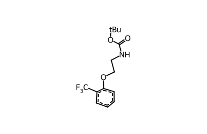 CC(C)(C)OC(=O)NCCOc1ccccc1C(F)(F)F